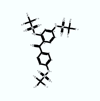 O=C(c1ccc(OS(=O)(=O)C(F)(F)F)cc1)c1ccc(OS(=O)(=O)C(F)(F)F)cc1OS(=O)(=O)C(F)(F)F